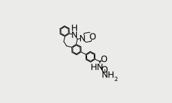 NONC(=O)c1ccc(-c2ccc3c(c2)C(N2CCOCC2)Nc2ccccc2CC3)cc1